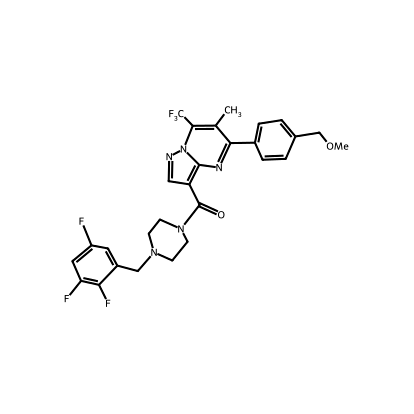 COCc1ccc(-c2nc3c(C(=O)N4CCN(Cc5cc(F)cc(F)c5F)CC4)cnn3c(C(F)(F)F)c2C)cc1